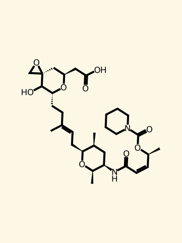 C/C(=C\C[C@@H]1O[C@H](C)[C@H](NC(=O)/C=C\[C@H](C)OC(=O)N2CCCCC2)C[C@@H]1C)CC[C@H]1O[C@H](CC(=O)O)C[C@@]2(CO2)C1O